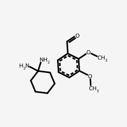 COc1cccc(C=O)c1OC.NC1(N)CCCCC1